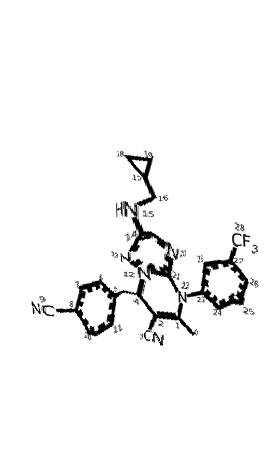 CC1=C(C#N)[C@@H](c2ccc(C#N)cc2)n2nc(NCC3CC3)nc2N1c1cccc(C(F)(F)F)c1